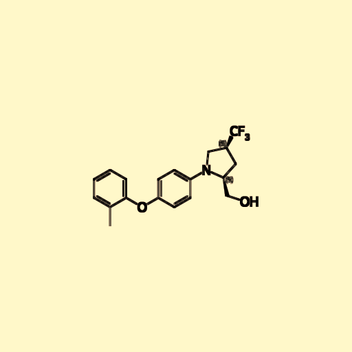 Cc1ccccc1Oc1ccc(N2C[C@@H](C(F)(F)F)C[C@H]2CO)cc1